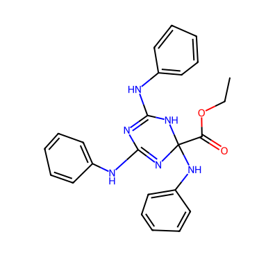 CCOC(=O)C1(Nc2ccccc2)N=C(Nc2ccccc2)N=C(Nc2ccccc2)N1